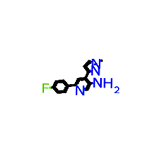 Cn1ccc(-c2cc(-c3ccc(F)cc3)ncc2N)n1